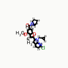 COc1cc(C(=O)N2CC3CCC2C3C)cc2oc(-c3cc4ccc(Cl)nc4n3CC3CC3)c(C)c12